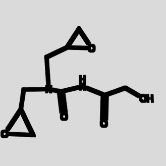 O=C(CO)NC(=O)N(CC1CO1)CC1CO1